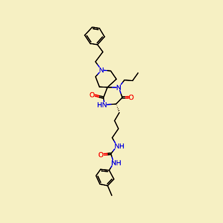 CCCN1C(=O)[C@H](CCCCNC(=O)Nc2cccc(C)c2)NC(=O)C12CCN(CCc1ccccc1)CC2